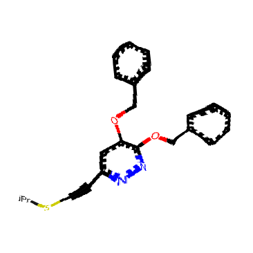 CC(C)SC#Cc1cc(OCc2ccccc2)c(OCc2ccccc2)nn1